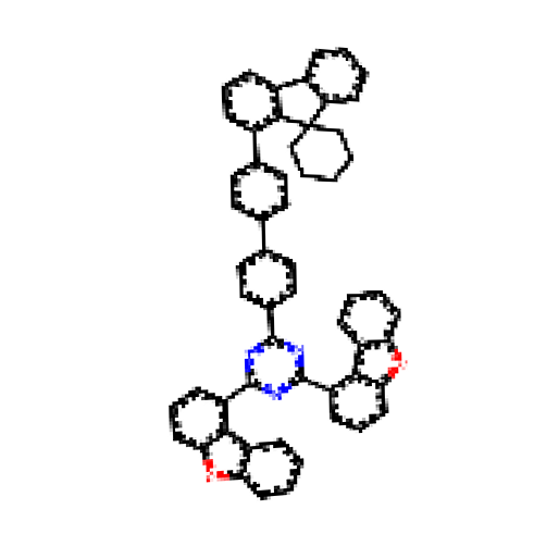 c1ccc2c(c1)-c1cccc(-c3ccc(-c4ccc(-c5nc(-c6cccc7oc8ccccc8c67)nc(-c6cccc7oc8ccccc8c67)n5)cc4)cc3)c1C21CCCCC1